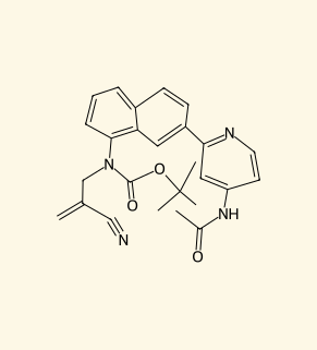 C=C(C#N)CN(C(=O)OC(C)(C)C)c1cccc2ccc(-c3cc(NC(C)=O)ccn3)cc12